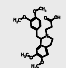 COc1ccc(CC2c3cc(OC)c(OC)cc3CCN2CCC(=O)O)cc1OC